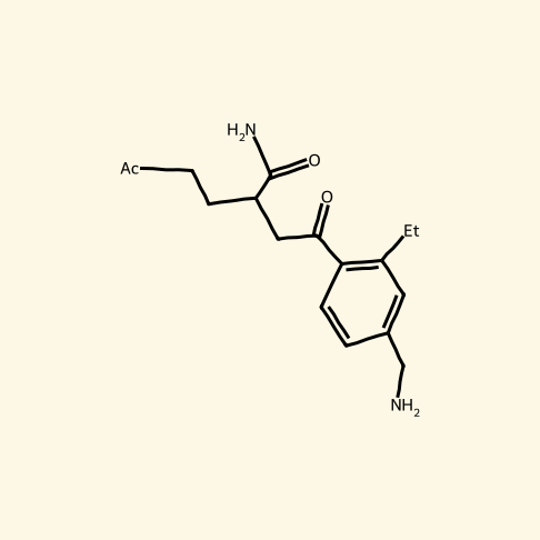 CCc1cc(CN)ccc1C(=O)CC(CCC(C)=O)C(N)=O